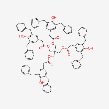 O=C(Cc1cc(Cc2ccccc2)c(O)c(Cc2ccccc2)c1)OCC(COC(=O)Cc1cc(Cc2ccccc2)c(O)c(Cc2ccccc2)c1)(COC(=O)Cc1cc(Cc2ccccc2)c(O)c(Cc2ccccc2)c1)COC(=O)Cc1cc(Cc2ccccc2)c(O)c(Cc2ccccc2)c1